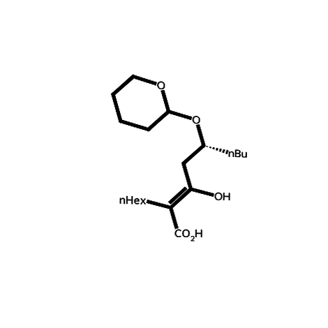 CCCCCCC(C(=O)O)=C(O)C[C@@H](CCCC)OC1CCCCO1